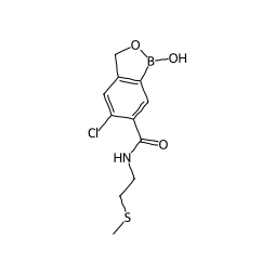 CSCCNC(=O)c1cc2c(cc1Cl)COB2O